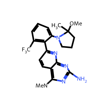 CNc1nc(N)nc2nc(-c3c(N4CCCC4(C)OC)cccc3C(F)(F)F)ccc12